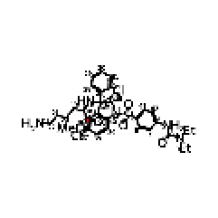 CCN(CC)C(=O)Nc1ccc(S(=O)(=O)N2C(=O)C(N[C@H](CCCCN)C(=O)OC)(c3ccccc3Cl)c3cc(Cl)ccc32)cc1